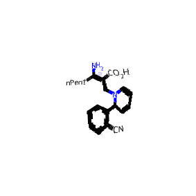 CCCCC/C(N)=C(\CN1C=CC=CC1c1ccccc1C#N)C(=O)O